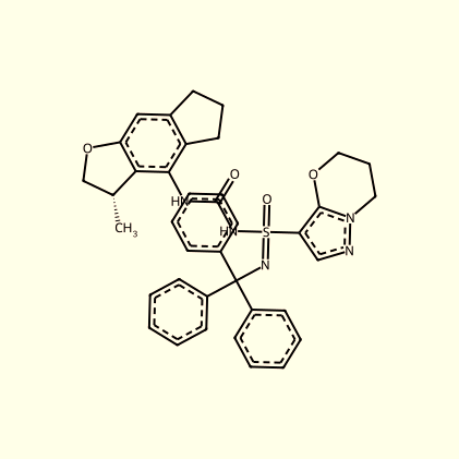 C[C@@H]1COc2cc3c(c(NC(=O)NS(=O)(=NC(c4ccccc4)(c4ccccc4)c4ccccc4)c4cnn5c4OCCC5)c21)CCC3